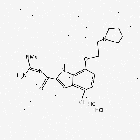 CNC(N)=NC(=O)c1cc2c(Cl)ccc(OCCN3CCCC3)c2[nH]1.Cl.Cl